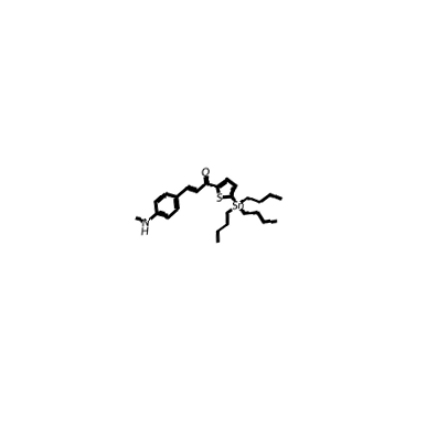 CCC[CH2][Sn]([CH2]CCC)([CH2]CCC)[c]1ccc(C(=O)C=Cc2ccc(NC)cc2)s1